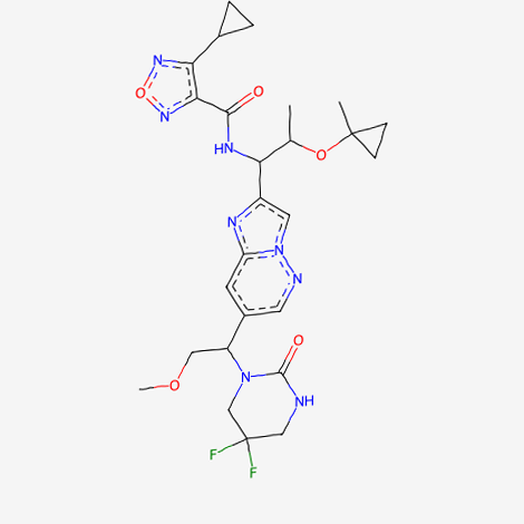 COCC(c1cnn2cc(C(NC(=O)c3nonc3C3CC3)C(C)OC3(C)CC3)nc2c1)N1CC(F)(F)CNC1=O